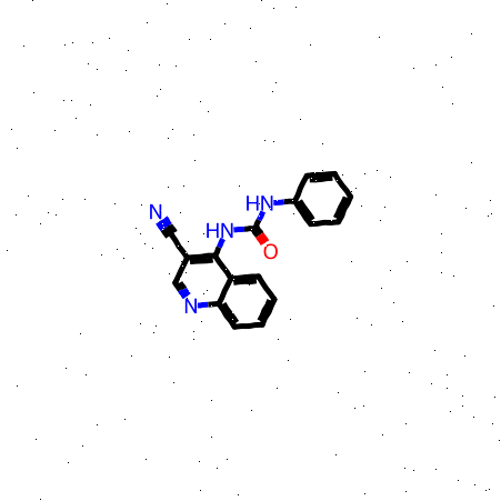 N#Cc1cnc2ccccc2c1NC(=O)Nc1ccccc1